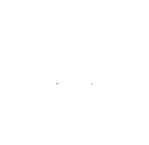 CC(=O)N1CC2C[C@H](C)CCC2[C@H](C)C1